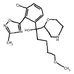 COCCCCC(O)(c1cccc(Cl)c1-c1nc(C)no1)C1CNCCO1